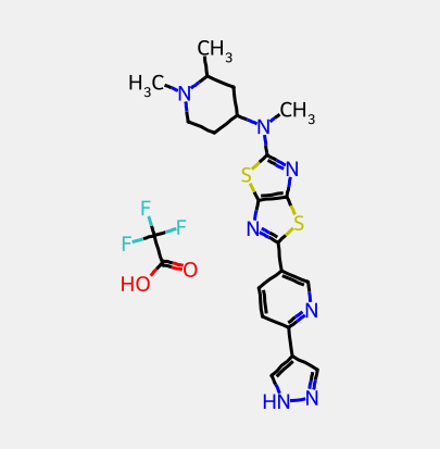 CC1CC(N(C)c2nc3sc(-c4ccc(-c5cn[nH]c5)nc4)nc3s2)CCN1C.O=C(O)C(F)(F)F